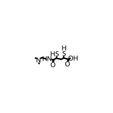 CN(C)CCNC(=O)C(S)CC(S)C(=O)O